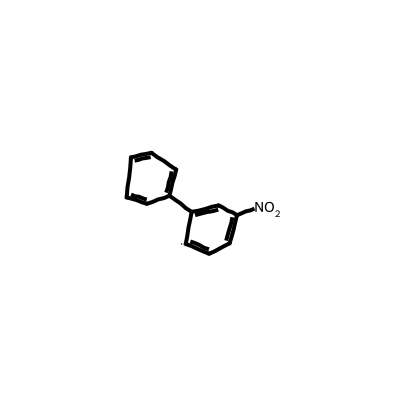 O=[N+]([O-])c1cc[c]c(-c2ccccc2)c1